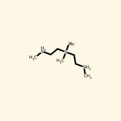 CCC(C)[Si](C)(CC[SiH2]C)CC[SiH2]C